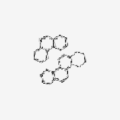 c1ccc2c(c1)ccc1c3c(ccc12)CCCC3.c1ccc2c(c1)cnc1ccccc12